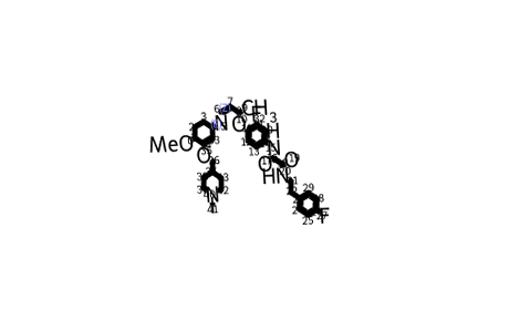 COC1CC/C(=N\C=C/C(C)Oc2ccc(NC(=O)C(=O)NCCc3ccc(F)cc3)cc2F)C=C1OCC1CCN(I)CC1